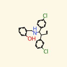 C=CC(c1cccc(Cl)c1)C(NCc1ccccc1O)c1ccc(Cl)cc1